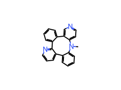 Cn1c2ccncc2c2ccccc2c2ncccc2c2ccccc21